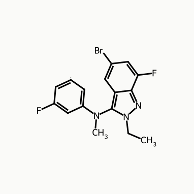 CCn1nc2c(F)cc(Br)cc2c1N(C)c1c[c]cc(F)c1